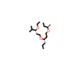 CCC[C@@H](CCO[C@H](C)CC)OCC[C@@H](OCC)C(C)C